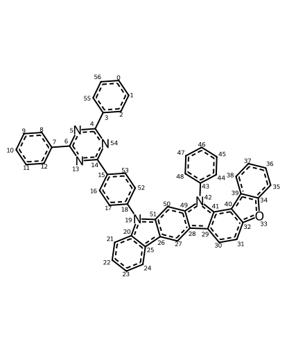 c1ccc(-c2nc(-c3ccccc3)nc(-c3ccc(-n4c5ccccc5c5cc6c7ccc8oc9ccccc9c8c7n(-c7ccccc7)c6cc54)cc3)n2)cc1